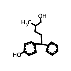 CC(CO)CCC(c1ccccc1)c1ccc(O)cc1